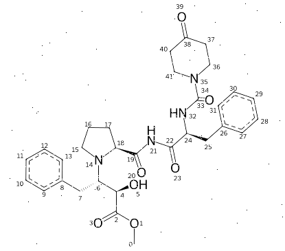 COC(=O)[C@H](O)[C@H](Cc1ccccc1)N1CCC[C@H]1C(=O)NC(=O)[C@H](Cc1ccccc1)NC(=O)N1CCC(=O)CC1